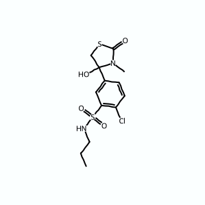 CCCNS(=O)(=O)c1cc(C2(O)CSC(=O)N2C)ccc1Cl